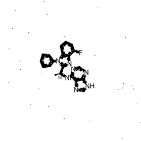 C[C@H](Nc1ncnc2[nH]cnc12)c1nc2c(F)cccc2n1-c1ccccc1